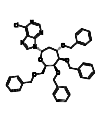 Clc1ncnc2c1ncn2[C@@H]1C[C@H](OCc2ccccc2)[C@@H](OCc2ccccc2)[C@@H](OCc2ccccc2)[C@@H](COCc2ccccc2)O1